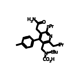 CCCc1nc(CC(C)C)c(CN(C(=O)O)C(C)(C)C)c(-c2ccc(C)cc2)c1CC(N)=O